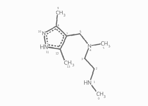 CNCCN(C)Cc1c(C)n[nH]c1C